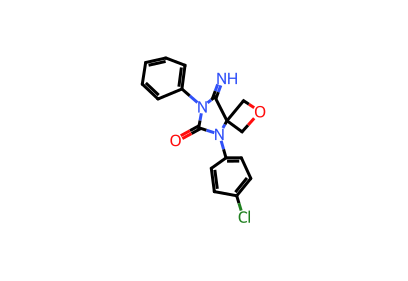 N=C1N(c2ccccc2)C(=O)N(c2ccc(Cl)cc2)C12COC2